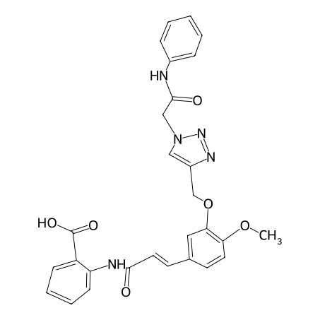 COc1ccc(C=CC(=O)Nc2ccccc2C(=O)O)cc1OCc1cn(CC(=O)Nc2ccccc2)nn1